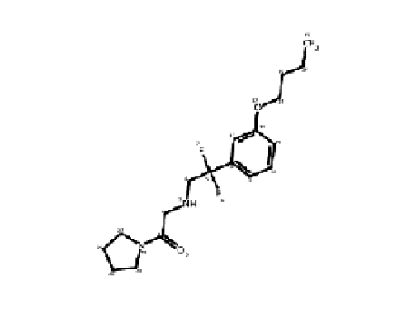 O=C(CNCC(F)(F)c1cccc(OCCCC(F)(F)F)c1)N1CCCC1